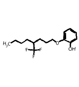 CCCCC(CCCOc1ccccc1O)C(F)(F)F